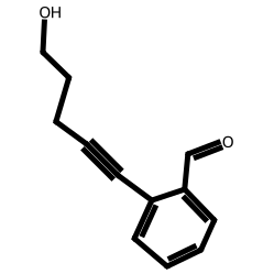 O=Cc1ccccc1C#CCCCO